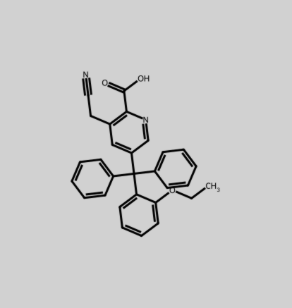 CCOc1ccccc1C(c1ccccc1)(c1ccccc1)c1cnc(C(=O)O)c(CC#N)c1